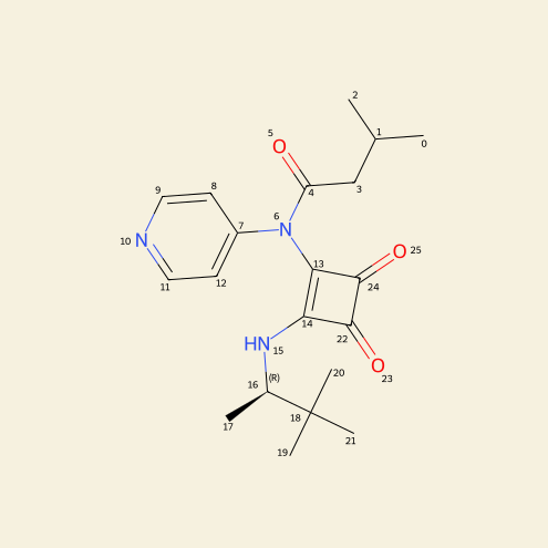 CC(C)CC(=O)N(c1ccncc1)c1c(N[C@H](C)C(C)(C)C)c(=O)c1=O